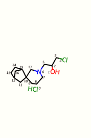 Cl.OC(CCl)CN1CCCC2(CC3CCC2C3)C1